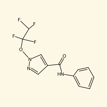 O=C(Nc1ccccc1)c1cnn(OC(F)(F)C(F)F)c1